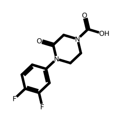 O=C(O)N1CCN(c2ccc(F)c(F)c2)C(=O)C1